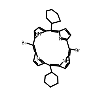 Brc1c2nc(c(C3CCCCC3)c3ccc([nH]3)c(Br)c3nc(c(C4CCCCC4)c4ccc1[nH]4)C=C3)C=C2